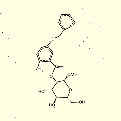 CO[C@H]1O[C@H](CO)[C@@H](O)[C@H](O)[C@H]1OC(=O)c1cc(OCc2ccccc2)ccc1C